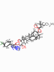 CC(C)C1=C2C(CC[C@]3(C)[C@@H]2CC[C@@H]2[C@@]4(C)CC[C@H](OC(=O)CC(C)(C)C(=O)O)C(C)(C)[C@@H]4CC[C@]23C)[C@H]([C@@H](O)c2nnc(-c3ccc(Cl)cc3)o2)C1=O